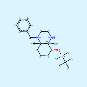 CC(C)(C)[Si](C)(C)O[C@H]1CCC[C@H]2[C@@H]1NCCN2Cc1ccccc1